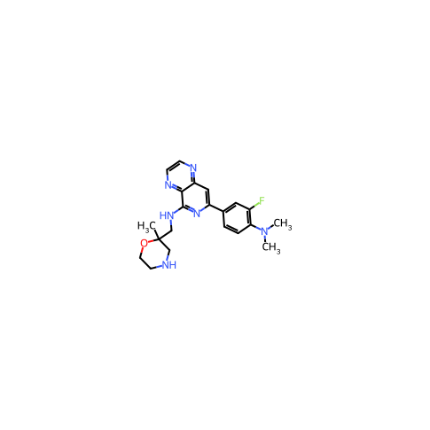 CN(C)c1ccc(-c2cc3nccnc3c(NCC3(C)CNCCO3)n2)cc1F